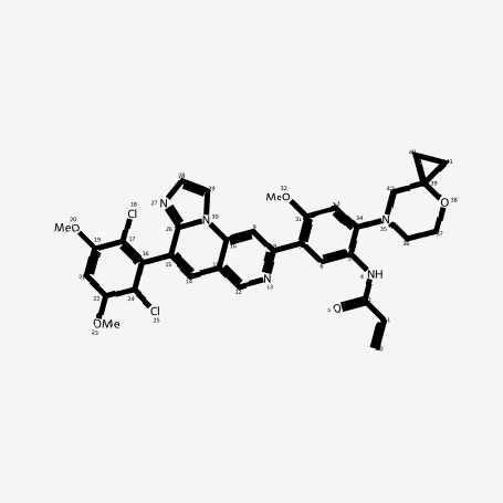 C=CC(=O)Nc1cc(-c2cc3c(cn2)cc(C2=C(Cl)C(OC)=CC(OC)C2Cl)c2nccn23)c(OC)cc1N1CCOC2(CC2)C1